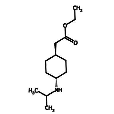 CCOC(=O)C[C@H]1CC[C@H](NC(C)C)CC1